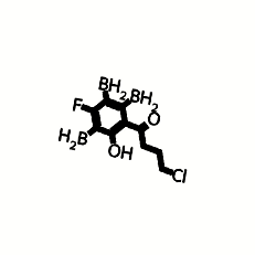 Bc1c(B)c(C(=O)CCCCl)c(O)c(B)c1F